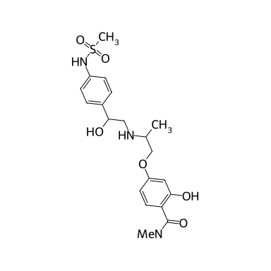 CNC(=O)c1ccc(OCC(C)NCC(O)c2ccc(NS(C)(=O)=O)cc2)cc1O